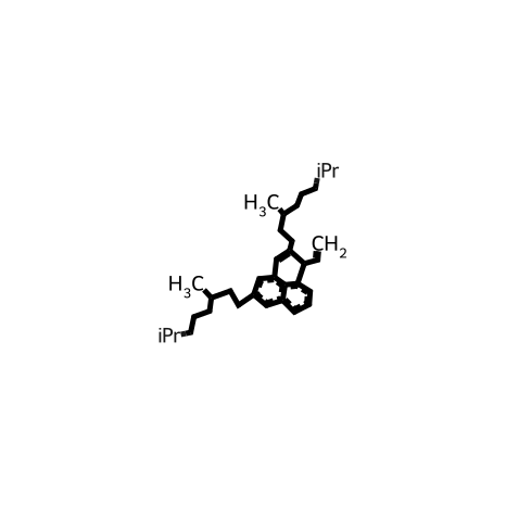 C=CC1C(CCC(C)CCCC(C)C)=Cc2cc(CCC(C)CCCC(C)C)cc3cccc1c23